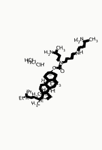 CC[C@H](CC[C@@H](C)[C@H]1CC[C@H]2[C@@H]3CC=C4C[C@@H](OC(=O)N(CCCCNCCC(C)N)CCC(C)N)CC[C@]4(C)[C@H]3CC[C@]12C)C(C)C.Cl.Cl.Cl